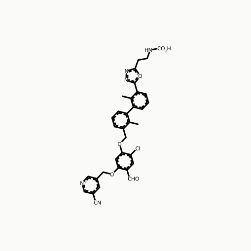 Cc1c(COc2cc(OCc3cncc(C#N)c3)c(C=O)cc2Cl)cccc1-c1cccc(-c2nnc(CCNC(=O)O)o2)c1C